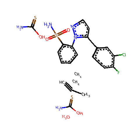 C.C.C#CC.NC(O)=S.NC(O)=S.NS(=O)(=O)c1ccccc1-n1nccc1-c1ccc(F)c(Cl)c1.O